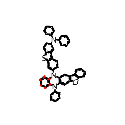 c1ccc(N(c2ccccc2)c2ccc3sc4cc(N(c5ccccc5)c5cc6c(cc5N(c5ccccc5)c5ccccc5)oc5ccccc56)ccc4c3c2)cc1